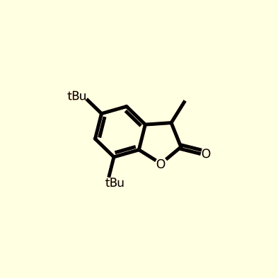 CC1C(=O)Oc2c1cc(C(C)(C)C)cc2C(C)(C)C